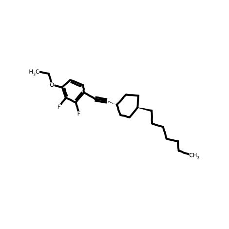 CCCCCCC[C@H]1CC[C@H](C#Cc2ccc(OCC)c(F)c2F)CC1